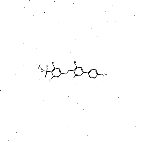 CCCc1ccc(-c2cc(F)c(CCc3cc(F)c(C(F)(F)OC(F)(F)F)c(F)c3)c(F)c2)cc1